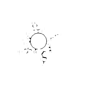 CC[Si](CC)(CC)O[C@H]1[C@@H](C)CCC[C@H](OSOOC)[C@@H](N=[N+]=[N-])C[C@@H](/C(C)=C/c2csc(C)n2)OC(=O)C[C@H](O[Si](CC)(CC)CC)C(C)(C)C(=O)[C@@H]1C